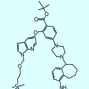 CC(C)(C)OC(=O)c1ccc(N2CCN(C3CCCCc4c(N)cccc43)CC2)cc1Oc1cnc2c(ccn2COCC[Si](C)(C)C)c1